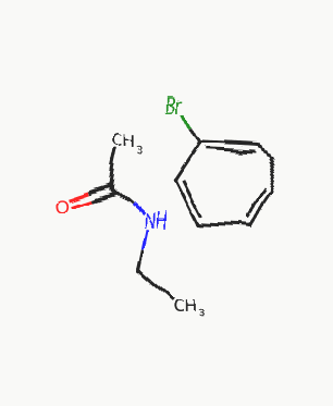 Brc1ccccc1.CCNC(C)=O